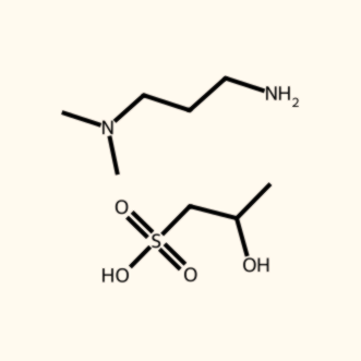 CC(O)CS(=O)(=O)O.CN(C)CCCN